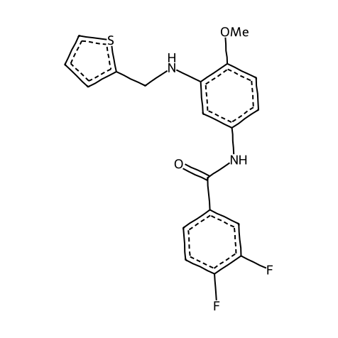 COc1ccc(NC(=O)c2ccc(F)c(F)c2)cc1NCc1cccs1